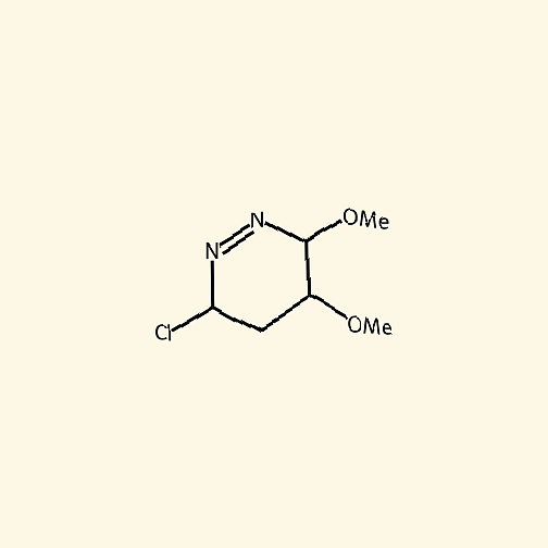 COC1CC(Cl)N=NC1OC